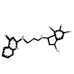 CC1CC(NCCCNc2cc(=O)c3ccccc3[nH]2)c2c1cc(Cl)c(Cl)c2Cl